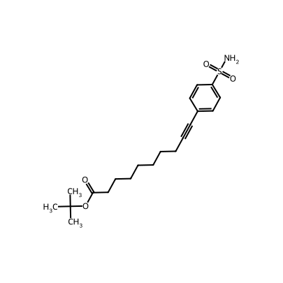 CC(C)(C)OC(=O)CCCCCCCC#Cc1ccc(S(N)(=O)=O)cc1